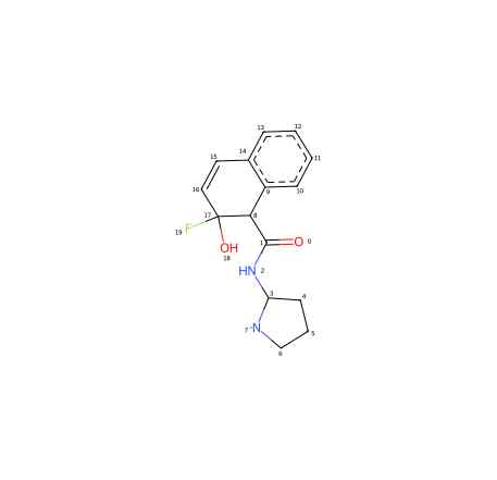 O=C(NC1CCC[N]1)C1c2ccccc2C=CC1(O)F